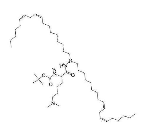 CCCCC/C=C\C/C=C\CCCCCCCCN(CCCCCCCC/C=C\C/C=C\CCCCC)NC(=O)[C@H](CCCCN(C)C)NC(=O)OC(C)(C)C